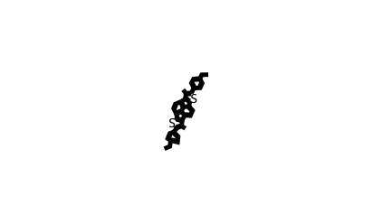 CCc1ccc(-c2sc3c(c2C)-c2ccc4c5c(ccc-3c25)-c2c-4sc(-c3ccc(CC)cc3)c2C)cc1